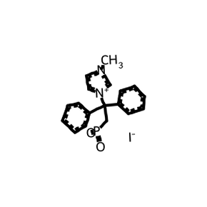 Cn1cc[n+](C(CP(=O)=O)(c2ccccc2)c2ccccc2)c1.[I-]